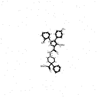 COC(=O)C1(c2ccccc2)CCN(NC(=O)c2nn(-c3ccccc3Cl)c(-c3ccc(Cl)cc3)c2OC)CC1